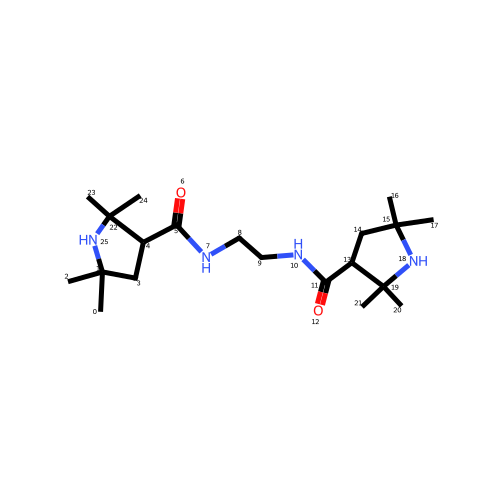 CC1(C)CC(C(=O)NCCNC(=O)C2CC(C)(C)NC2(C)C)C(C)(C)N1